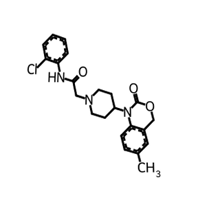 Cc1ccc2c(c1)COC(=O)N2C1CCN(CC(=O)Nc2ccccc2Cl)CC1